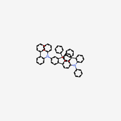 c1ccc(-c2ccccc2N(c2ccccc2)c2ccc3c(c2)C(c2ccccc2)(c2ccccc2)c2cc(N(c4ccccc4)c4ccccc4-c4ccccc4)ccc2-3)cc1